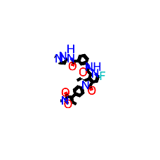 CC[C@@H]1c2c(cc(F)nc2C(=O)Nc2cccc(C(=O)Nc3ccn(C)n3)c2)C(=O)N1c1ccc(-c2c(C)on(C)c2=O)cc1